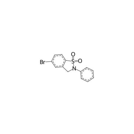 O=S1(=O)c2ccc(Br)cc2CN1c1ccccc1